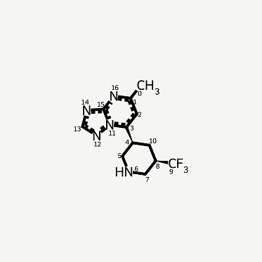 Cc1cc([C@@H]2CNC[C@H](C(F)(F)F)C2)n2ncnc2n1